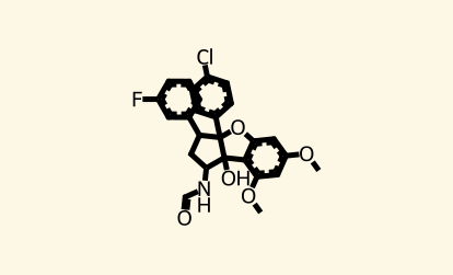 COc1cc(OC)c2c(c1)OC1(c3ccc(Cl)cc3)C(c3cccc(F)c3)CC(NC=O)C21O